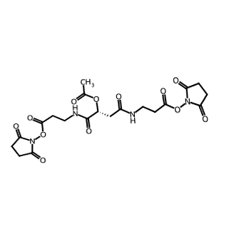 CC(=O)O[C@H](CC(=O)NCCC(=O)ON1C(=O)CCC1=O)C(=O)NCCC(=O)ON1C(=O)CCC1=O